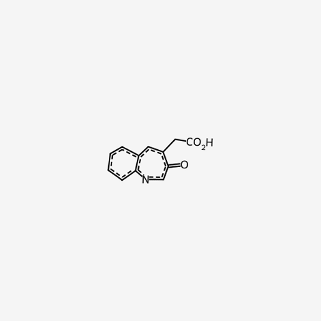 O=C(O)Cc1cc2ccccc2ncc1=O